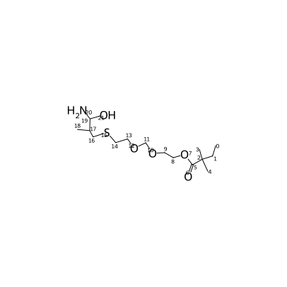 CCC(C)(C)C(=O)OCCOCOCCSCC(C)C(N)O